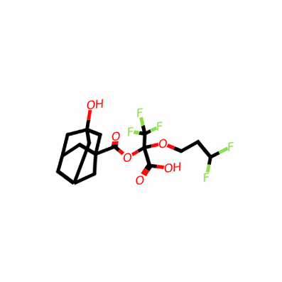 O=C(OC(OCCC(F)F)(C(=O)O)C(F)(F)F)C12CC3CC(CC(O)(C3)C1)C2